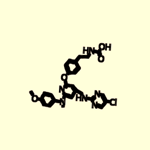 COc1ccc(N(C)c2cc(CNc3ncc(Cl)cn3)cc(Oc3ccc(CCNC(=O)O)cc3)n2)cc1